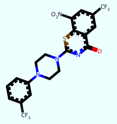 O=c1nc(N2CCN(c3cccc(C(F)(F)F)c3)CC2)sc2c([N+](=O)[O-])cc(C(F)(F)F)cc12